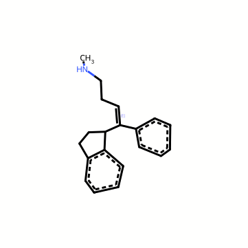 CNCC/C=C(/c1ccccc1)C1CCc2ccccc21